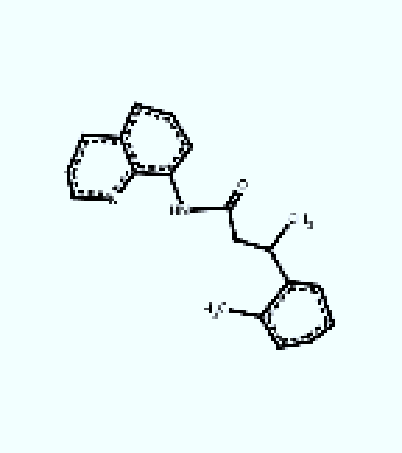 Cc1ccccc1C(C)CC(=O)Nc1cccc2cccnc12